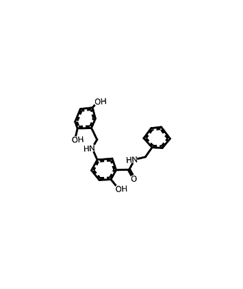 O=C(NCc1ccccc1)c1cc(NCc2cc(O)ccc2O)ccc1O